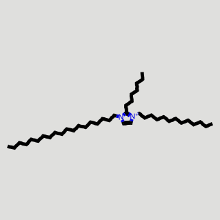 CCCCCCCCCCCCCCCCCCCn1cc[n+](CCCCCCCCCCCCC)c1CCCCCCC